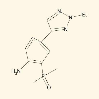 CCn1ncc(-c2ccc(N)c(P(C)(C)=O)c2)n1